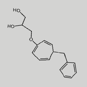 OCC(O)COC1=CC=CC(Cc2ccccc2)C=C1